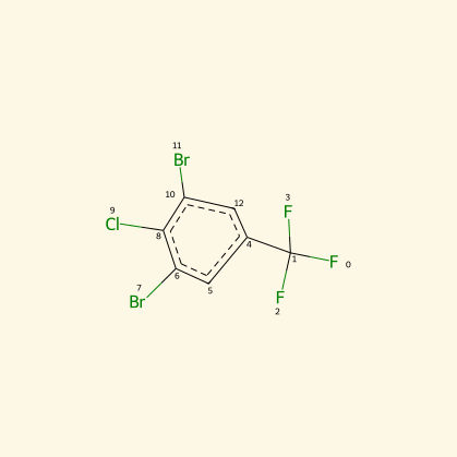 FC(F)(F)c1cc(Br)c(Cl)c(Br)c1